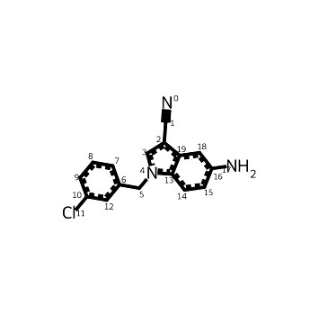 N#Cc1cn(Cc2cccc(Cl)c2)c2ccc(N)cc12